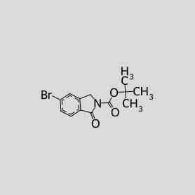 CC(C)(C)OC(=O)N1Cc2cc(Br)ccc2C1=O